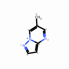 Cc1cnc2ccnn2c1